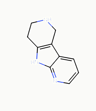 c1cnc2[nH]c3c(c2c1)CNCC3